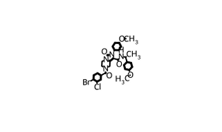 COc1ccc(C(C)NC(=O)c2c3n(c(=O)n2-c2ccc(OC)cc2)CCN(C(=O)c2ccc(Br)c(Cl)c2)C3)cc1